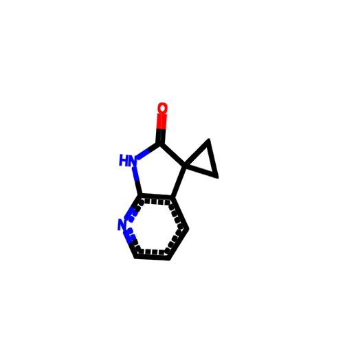 O=C1Nc2ncccc2C12CC2